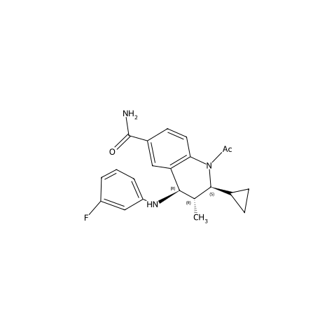 CC(=O)N1c2ccc(C(N)=O)cc2[C@H](Nc2cccc(F)c2)[C@@H](C)[C@@H]1C1CC1